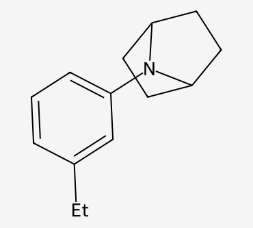 CCc1cccc(N2C3CCC2CC3)c1